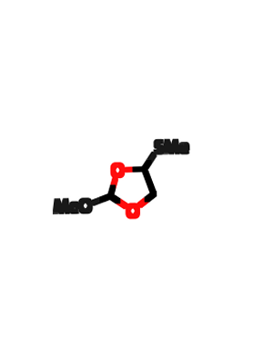 COC1OCC(SC)O1